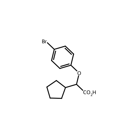 O=C(O)C(Oc1ccc(Br)cc1)C1CCCC1